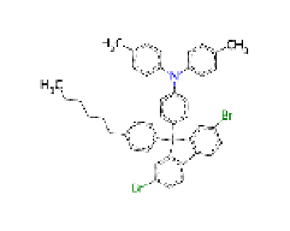 CCCCCCc1ccc(C2(c3ccc(N(c4ccc(C)cc4)c4ccc(C)cc4)cc3)c3cc(Br)ccc3-c3ccc(Br)cc32)cc1